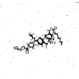 C=CCCCCN1C(=O)OCc2cnc(N[C@@H](C)c3ccc(C(CCC=C)N4CCN(C(=O)OC(C)(C)C)CC4)cc3)nc21